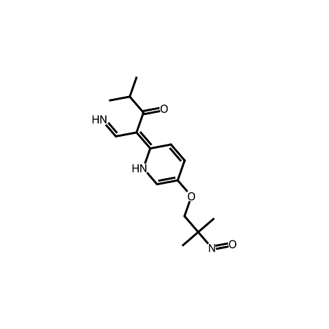 CC(C)C(=O)/C(C=N)=C1\C=CC(OCC(C)(C)N=O)=CN1